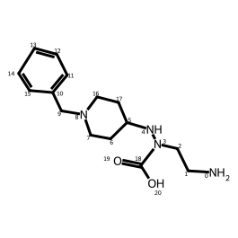 NCCN(NC1CCN(Cc2ccccc2)CC1)C(=O)O